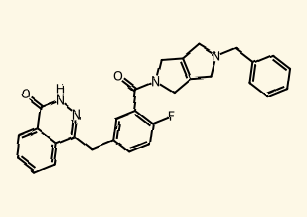 O=C(c1cc(Cc2n[nH]c(=O)c3ccccc23)ccc1F)N1CC2=C(CN(Cc3ccccc3)C2)C1